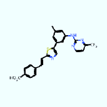 Cc1cc(Nc2nccc(C(F)(F)F)n2)cc(-c2cnc(/C=C/c3ccc(C(=O)O)cc3)s2)c1